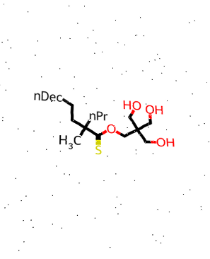 CCCCCCCCCCCCC(C)(CCC)C(=S)OCC(CO)(CO)CO